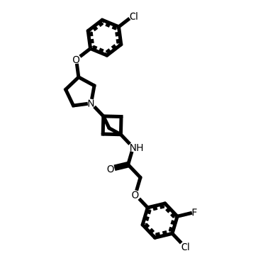 O=C(COc1ccc(Cl)c(F)c1)NC12CC(N3CCC(Oc4ccc(Cl)cc4)C3)(C1)C2